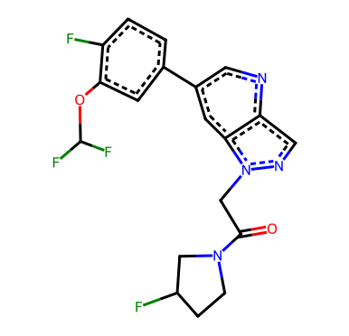 O=C(Cn1ncc2ncc(-c3ccc(F)c(OC(F)F)c3)cc21)N1CCC(F)C1